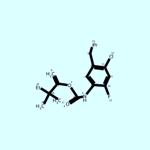 C=C(OC(=O)Nc1cc(CC(C)C)c(Cl)cc1F)C(C)(C)CC